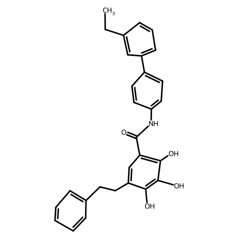 CCc1cccc(-c2ccc(NC(=O)c3cc(CCc4ccccc4)c(O)c(O)c3O)cc2)c1